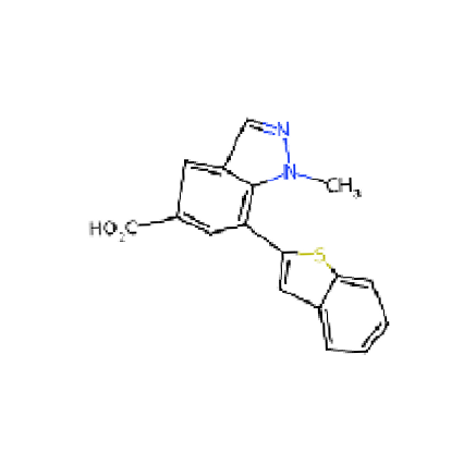 Cn1ncc2cc(C(=O)O)cc(-c3cc4ccccc4s3)c21